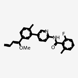 C=C/C=C(\OC)c1ccc(C)c(-c2ccc(NC(=O)c3c(C)cccc3F)nc2)c1